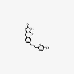 CCc1ccc(CCCc2ccc(CC3SC(=O)NC3=O)cc2)nc1